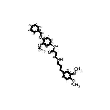 COc1ccc(CCCNCCC(=O)Nc2ccc(OCc3ccccc3)c(OC)c2)cc1OC